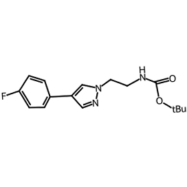 CC(C)(C)OC(=O)NCCn1cc(-c2ccc(F)cc2)cn1